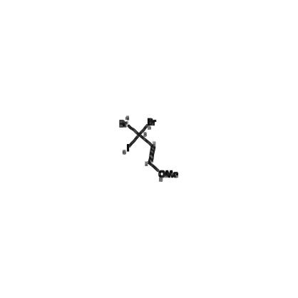 COC=CC(Br)(Br)I